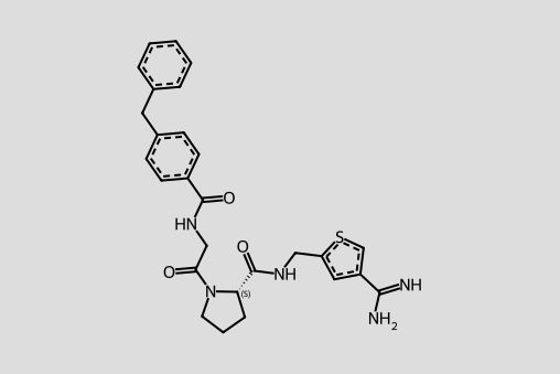 N=C(N)c1csc(CNC(=O)[C@@H]2CCCN2C(=O)CNC(=O)c2ccc(Cc3ccccc3)cc2)c1